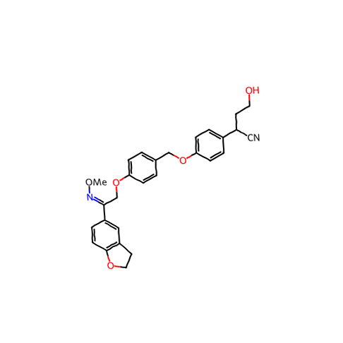 CO/N=C(\COc1ccc(COc2ccc(C(C#N)CCO)cc2)cc1)c1ccc2c(c1)CCO2